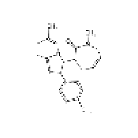 CC1=CN2C(=NC(c3ccc(C)cc3)C2C2CC=CCN(C)C2=O)C=C1